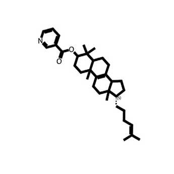 CC(C)=CCCC[C@H]1CCC2C3=C(CCC21C)C1(C)CCC(OC(=O)c2cccnc2)C(C)(C)C1CC3